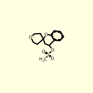 CS(=O)(=O)OC1CC2(CCOCC2)Oc2ccccc21